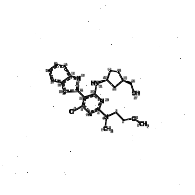 COCCN(C)c1nc(Cl)c(-c2nc3ccccc3s2)c(N[C@H]2CC[C@@H](CO)C2)n1